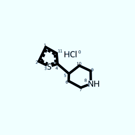 Cl.c1csc(C2CCNCC2)c1